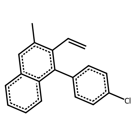 C=Cc1c(C)cc2ccccc2c1-c1ccc(Cl)cc1